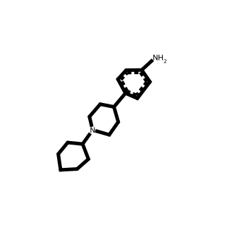 Nc1ccc(C2CCN(C3CCCCC3)CC2)cc1